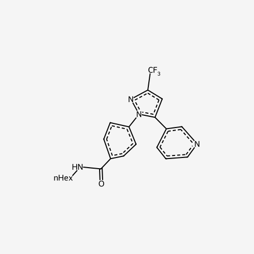 CCCCCCNC(=O)c1ccc(-n2nc(C(F)(F)F)cc2-c2cccnc2)cc1